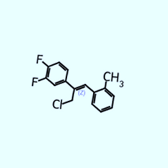 Cc1ccccc1/C=C(\CCl)c1ccc(F)c(F)c1